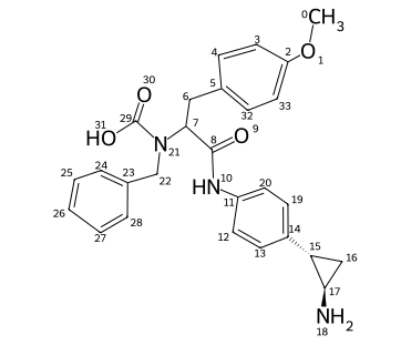 COc1ccc(CC(C(=O)Nc2ccc([C@@H]3C[C@H]3N)cc2)N(Cc2ccccc2)C(=O)O)cc1